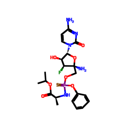 CC(C)OC(=O)[C@H](C)NP(=S)(OC[C@@]1(N)O[C@@H](n2ccc(N)nc2=O)[C@H](O)[C@@H]1F)Oc1ccccc1